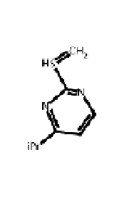 C=[SH]c1nccc(C(C)C)n1